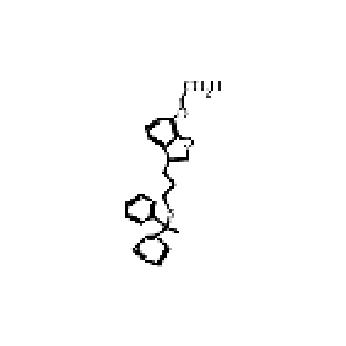 CC(SCCCC1COc2c(OCC(=O)O)cccc21)(c1ccccc1)c1ccccc1